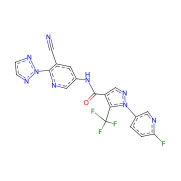 N#Cc1cc(NC(=O)c2cnn(-c3ccc(F)nc3)c2C(F)(F)F)cnc1-n1nccn1